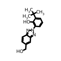 CC(C)(C)c1cccc(-n2nc3ccc(CO)cc3n2)c1O